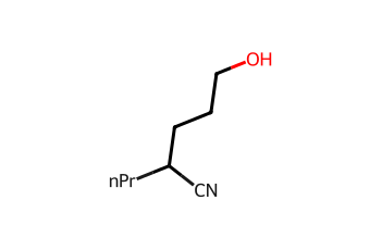 CCCC(C#N)CCCO